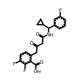 O=C(CC(=O)NC(c1cccc(F)c1)C1CC1)Cc1ccc(F)c(F)c1C(=O)O